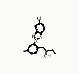 CCC(O)Cc1ccc(C)cc1-n1nc2ccc(Cl)cc2n1